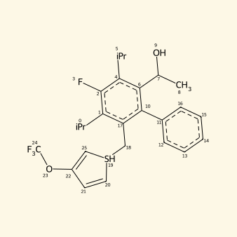 CC(C)c1c(F)c(C(C)C)c(C(C)O)c(-c2ccccc2)c1C[SH]1C=CC(OC(F)(F)F)=C1